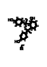 CC(C)(c1ccc(O)cc1)c1cccc(O)c1C(C)(C)c1ccc(O)cc1.CCC